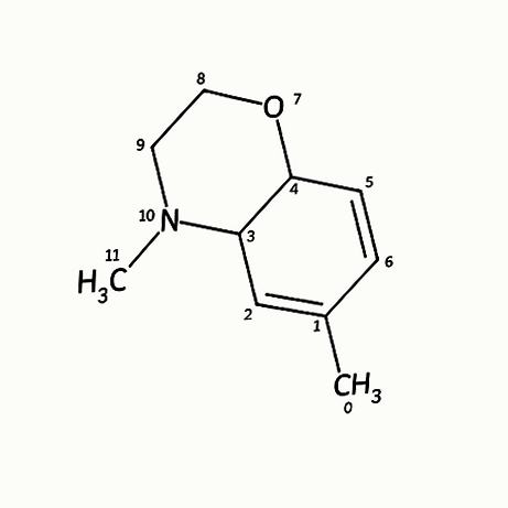 CC1=CC2C(C=C1)OCCN2C